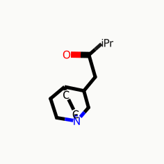 CC(C)C(=O)CC1CN2CCC1CC2